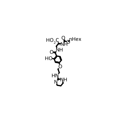 CCCCCCOC(=O)N[C@@H](CNC(=O)c1ccc(OCCNC2=NCCCN2)cc1O)C(=O)O